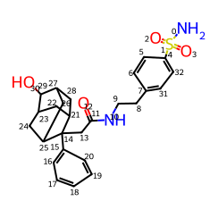 NS(=O)(=O)c1ccc(CCNC(=O)CC2(c3ccccc3)C3CC4CC2CC(C3)C4O)cc1